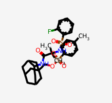 Cc1ccc(S(=O)(=O)OCC23CC4CC(C2)C(NC(=O)C(C)(C)NS(=O)(=O)c2ccccc2F)C(C4)C3)cc1